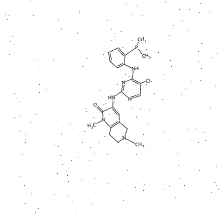 CN1CCc2c(cc(Nc3ncc(Cl)c(Nc4ccccc4P(C)C)n3)c(=O)n2C)C1